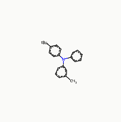 Cc1cccc(N(c2ccccc2)c2ccc(C(C)(C)C)cc2)c1